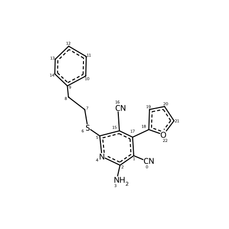 N#Cc1c(N)nc(SCCc2ccccc2)c(C#N)c1-c1ccco1